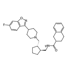 O=C(NC[C@H]1CCC[C@@H]1CN1CCC(c2noc3cc(F)ccc23)CC1)C1CCc2ccccc2C1